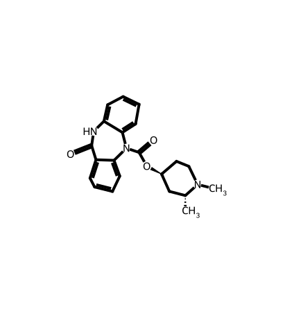 C[C@@H]1C[C@@H](OC(=O)N2c3ccccc3NC(=O)c3ccccc32)CCN1C